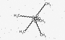 CCCCCCCCCCCCOC[C@H]1O[C@@H](SC(C)=O)[C@H](OCCCCCCCCCCCC)[C@@H](OCCCCCCCCCCCC)[C@H]1OCCCCCCCCCCCC